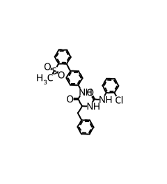 CS(=O)(=O)c1ccccc1-c1ccc(NC(=O)C(Cc2ccccc2)NC(=O)Nc2ccccc2Cl)cc1